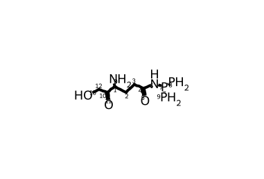 NC(CCC(=O)NP(P)P)C(=O)CO